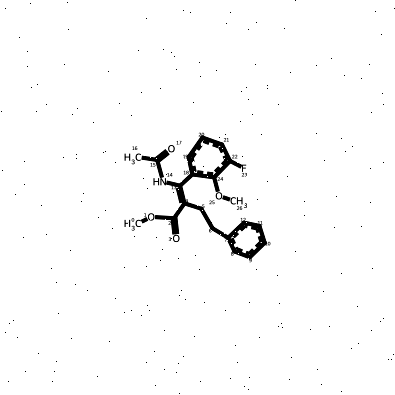 COC(=O)/C(CCc1ccccc1)=C(\NC(C)=O)c1cccc(F)c1OC